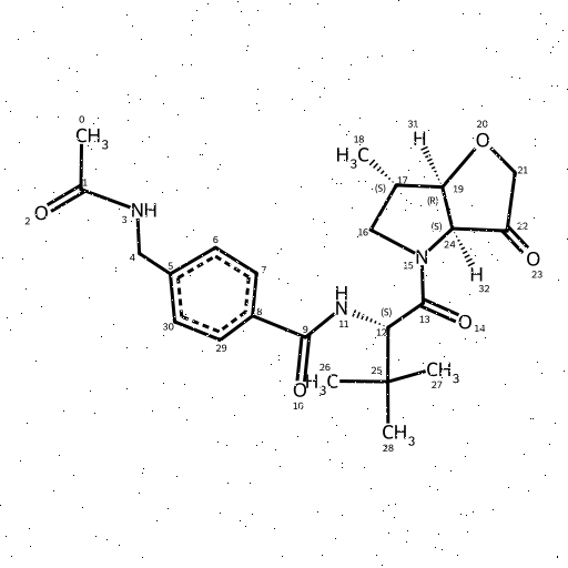 CC(=O)NCc1ccc(C(=O)N[C@H](C(=O)N2C[C@H](C)[C@H]3OCC(=O)[C@H]32)C(C)(C)C)cc1